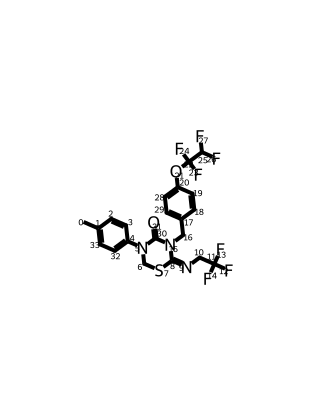 Cc1ccc(N2CS/C(=N/CC(F)(F)F)N(Cc3ccc(OC(F)(F)C(F)F)cc3)C2=O)cc1